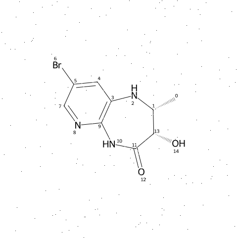 C[C@H]1Nc2cc(Br)cnc2NC(=O)[C@H]1O